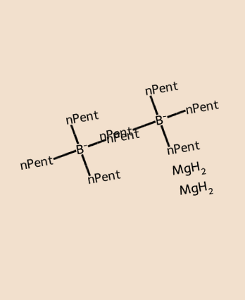 CCCCC[B-](CCCCC)(CCCCC)CCCCC.CCCCC[B-](CCCCC)(CCCCC)CCCCC.[MgH2].[MgH2]